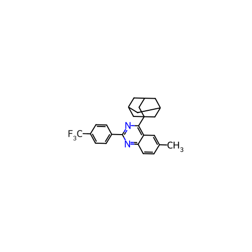 Cc1ccc2nc(-c3ccc(C(F)(F)F)cc3)nc(C34CC5CC(CC(C5)C3)C4)c2c1